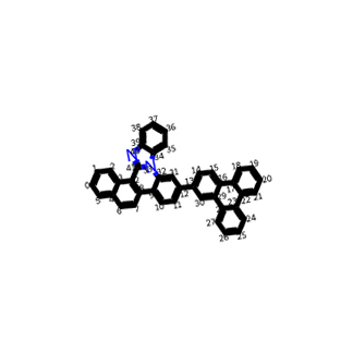 c1ccc2c(c1)ccc1c3ccc(-c4ccc5c6ccccc6c6ccccc6c5c4)cc3n3c4ccccc4nc3c21